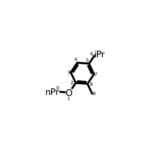 CCCOc1ccc(C(C)C)cc1C